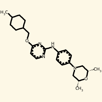 CC1CCC(COc2ccnc(Nc3ccc(N4C[C@@H](C)O[C@@H](C)C4)cc3)n2)CC1